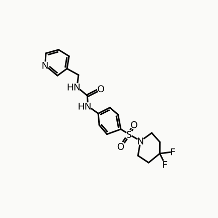 O=C(NCc1cccnc1)Nc1ccc(S(=O)(=O)N2CCC(F)(F)CC2)cc1